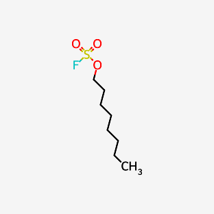 CCCCCCCCOS(=O)(=O)F